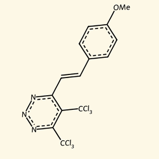 COc1ccc(C=Cc2nnnc(C(Cl)(Cl)Cl)c2C(Cl)(Cl)Cl)cc1